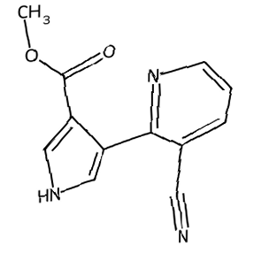 COC(=O)c1c[nH]cc1-c1ncccc1C#N